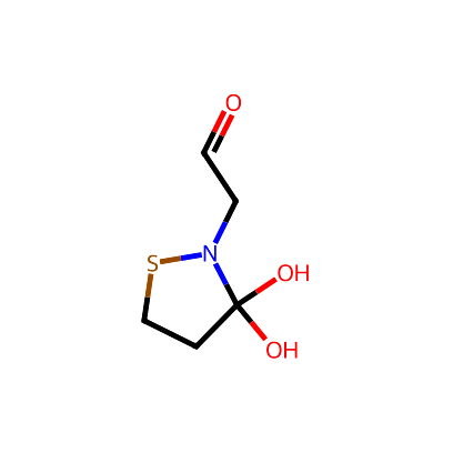 O=CCN1SCCC1(O)O